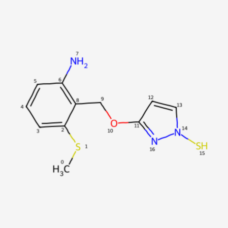 CSc1cccc(N)c1COc1ccn(S)n1